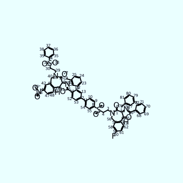 O=C1N(CCS(=O)(=O)c2ccc(-c3ccc(C4=N[C@]5(Cc6ccccc6)C(=O)N(CCS(=O)(=O)c6ccccc6)Cc6cc([N+](=O)[O-])ccc6[C@@H]5O4)cc3)cc2)Cc2cc(F)ccc2[C@@H]2OC(c3ccccc3)=N[C@]12Cc1ccccc1